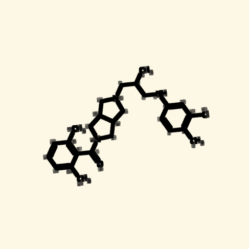 Cc1ccc(NCC(C)CN2CC3CN(C(=O)c4c(C)cccc4C)CC3C2)cc1Cl